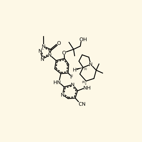 Cn1nnn(-c2cc(Nc3ncc(C#N)c(N[C@@H]4C[C@@H]5CCCN5C(C)(C)C4)n3)c(F)cc2OC(C)(C)CO)c1=O